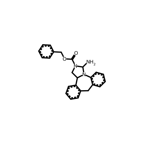 NC1N(C(=O)OCc2ccccc2)CC2c3ccccc3Cc3ccccc3N21